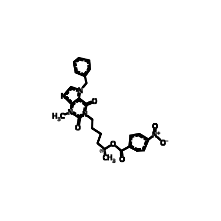 C[C@@H](CCCCn1c(=O)c2c(ncn2Cc2ccccc2)n(C)c1=O)OC(=O)c1ccc([N+](=O)[O-])cc1